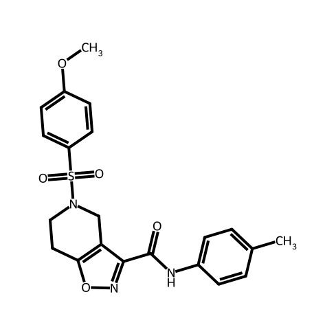 COc1ccc(S(=O)(=O)N2CCc3onc(C(=O)Nc4ccc(C)cc4)c3C2)cc1